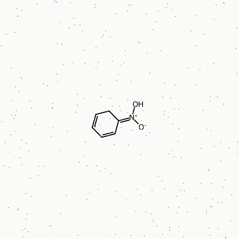 [O-][N+](O)=C1C=CC=CC1